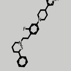 Fc1cc(N2CCC(c3cn[nH]c3)CC2)ccc1CCN1CCCC(c2ccccc2)S1